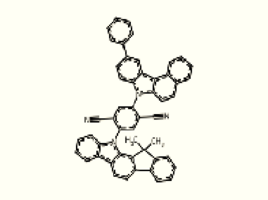 CC1(C)c2ccccc2-c2ccc3c4ccccc4n(-c4cc(C#N)c(-n5c6ccc(-c7ccccc7)cc6c6c7ccccc7ccc65)cc4C#N)c3c21